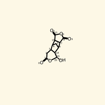 O=C1CC2C3CC(C4C(=O)OC(=O)C34)C2[C@@H](O)O1